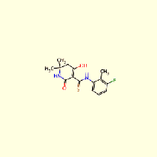 Cc1c(F)cccc1NC(=S)C1=C(O)CC(C)(C)NC1=O